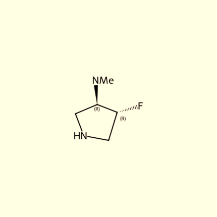 CN[C@@H]1CNC[C@H]1F